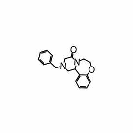 O=C1CN(Cc2ccccc2)CC2c3ccccc3OCCN12